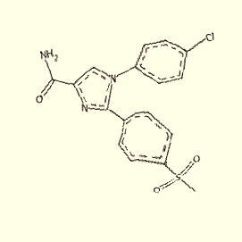 CS(=O)(=O)c1ccc(-c2nc(C(N)=O)cn2-c2ccc(Cl)cc2)cc1